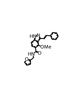 COc1c(C(=O)NCc2ccco2)ccc2[nH]nc(/C=C/c3ccccc3)c12